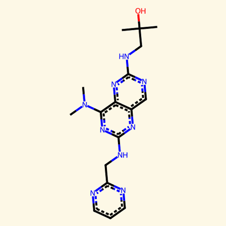 CN(C)c1nc(NCc2ncccn2)nc2cnc(NCC(C)(C)O)nc12